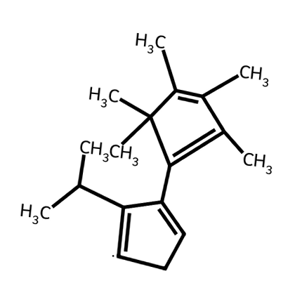 CC1=C(C)C(C)(C)C(C2=CC[C]=C2C(C)C)=C1C